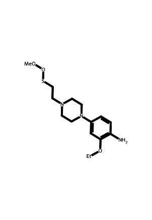 CCOc1cc(N2CCN(CCSOOC)CC2)ccc1N